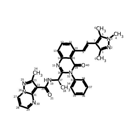 Cc1nn(C)c(C)c1/C=C/c1cccc2nc([C@@H](C)NC(=O)c3c(C)nn4cccnc34)n(-c3ccccc3)c(=O)c12